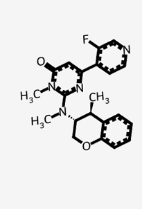 C[C@H]1c2ccccc2OC[C@@H]1N(C)c1nc(-c2ccncc2F)cc(=O)n1C